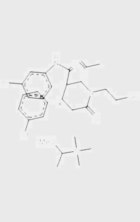 C=C(C)[C@@H]1N(CCO)C(=O)C[C@H](c2cccc(Cl)c2)[C@@]12C(=O)Nc1cc(Br)ccc12.COC(C)[Si](C)(C)C